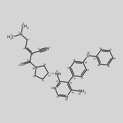 CN(C)C/C=C(\C#N)C(=O)N1CC[C@@H](Nc2ncnc(N)c2-c2ccc(Oc3ccccc3)cc2)C1